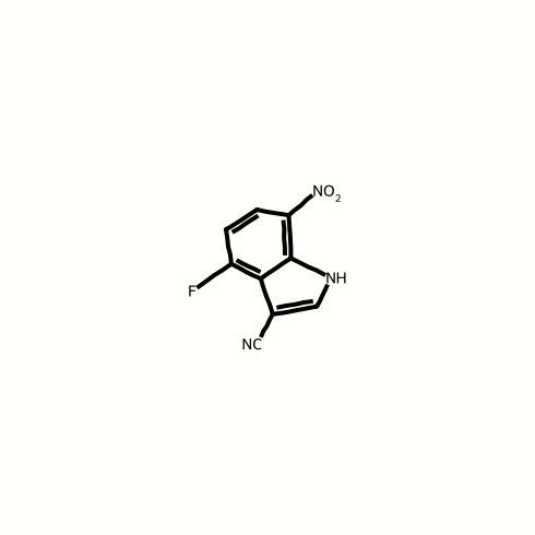 N#Cc1c[nH]c2c([N+](=O)[O-])ccc(F)c12